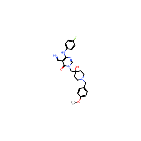 N=Cc1c(Nc2ccc(F)cc2)ncn(CC2(O)CCN(Cc3ccc(OC(F)(F)F)cc3)CC2)c1=O